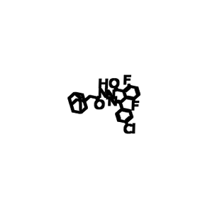 O=C(CC12CC3CC(CC(C3)C1)C2)Nn1nc(-c2ccc(Cl)cc2)c2c(F)ccc(F)c2c1=O